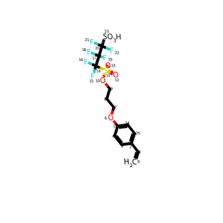 C=Cc1ccc(OCCCOS(=O)(=O)C(F)(F)C(F)(F)C(F)(F)S(=O)(=O)O)cc1